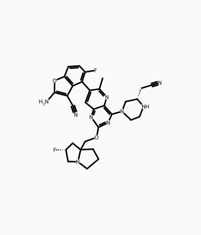 Cc1nc2c(N3CCN[C@@H](CC#N)C3)nc(OCC34CCCN3C[C@H](F)C4)nc2cc1-c1c(F)ccc2oc(N)c(C#N)c12